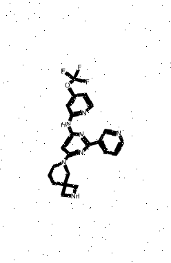 FC(F)(F)Oc1ccnc(Nc2cc(N3CCCC4(CNC4)C3)nc(-c3cccnc3)n2)c1